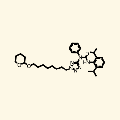 CC(C)c1cccc(C(C)C)c1NC(=O)N(c1ccccc1)c1nnn(CCCCCCCCOC2CCCCO2)n1